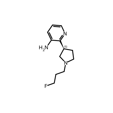 Nc1cccnc1[C@H]1CCN(CCCF)C1